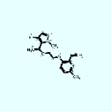 C=Cc1nc(C)ccc1OCCOC(C)c1c(Br)cnn1C